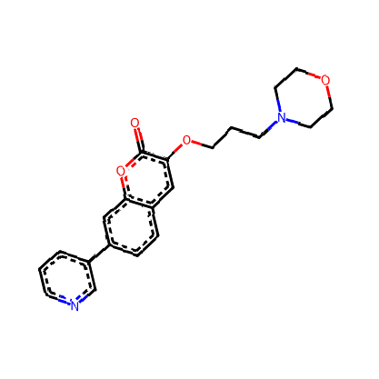 O=c1oc2cc(-c3cccnc3)ccc2cc1OCCCN1CCOCC1